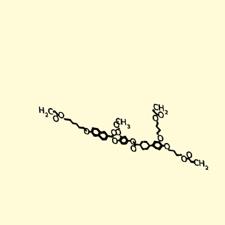 C=CC(=O)OCCCCCCOc1ccc2cc(C(=O)Oc3ccc(OC(=O)C4CCC(c5ccc(OCCCCOC(=O)C=C)c(OCCCCOC(=O)C=C)c5)CC4)cc3OCOC)ccc2c1